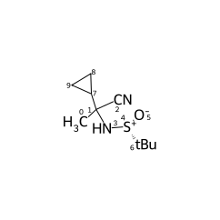 CC(C#N)(N[S@+]([O-])C(C)(C)C)C1CC1